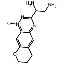 NCC(N)c1nc2cc3c(cc2[n+]([O-])n1)OCCC3